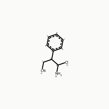 N#CCC(c1ccccc1)C(N)Cl